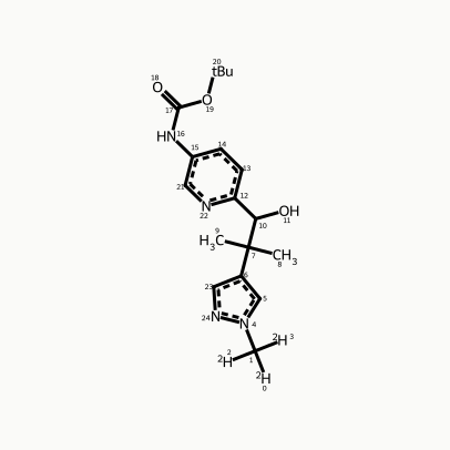 [2H]C([2H])([2H])n1cc(C(C)(C)C(O)c2ccc(NC(=O)OC(C)(C)C)cn2)cn1